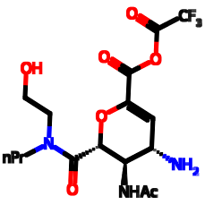 CCCN(CCO)C(=O)[C@@H]1OC(C(=O)OC(=O)C(F)(F)F)=C[C@H](N)[C@H]1NC(C)=O